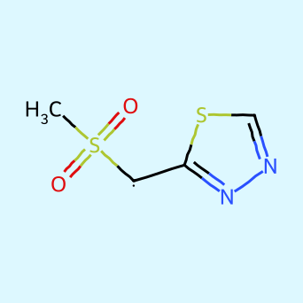 CS(=O)(=O)[CH]c1nncs1